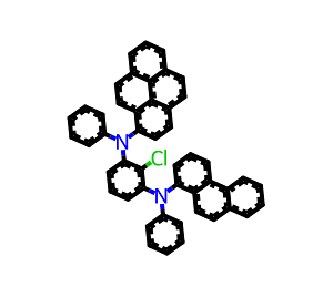 Clc1c(N(c2ccccc2)c2cccc3c2ccc2ccccc23)cccc1N(c1ccccc1)c1ccc2ccc3cccc4ccc1c2c34